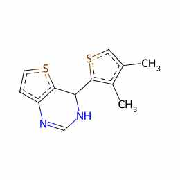 Cc1csc(C2NC=Nc3ccsc32)c1C